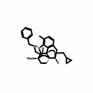 CO[C@]12CC[C@@]3(C[C@H]1CNCc1ccccc1)[C@H]1Cc4ccc(C)c5c4[C@@]3(CCN1CC1CC1)C2O5